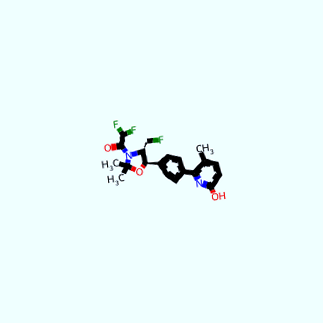 Cc1ccc(O)nc1-c1ccc([C@H]2OC(C)(C)N(C(=O)C(F)F)[C@@H]2CF)cc1